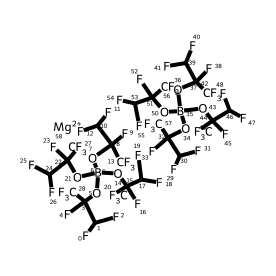 FC(F)C(F)(O[B-](OC(F)(C(F)F)C(F)(F)F)(OC(F)(C(F)F)C(F)(F)F)OC(F)(C(F)F)C(F)(F)F)C(F)(F)F.FC(F)C(F)(O[B-](OC(F)(C(F)F)C(F)(F)F)(OC(F)(C(F)F)C(F)(F)F)OC(F)(C(F)F)C(F)(F)F)C(F)(F)F.[Mg+2]